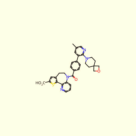 Cc1cnc(N2CCC3(CC2)COC3)c(-c2ccc(C(=O)N3CCc4cc(C(=O)O)sc4-c4ncccc43)cc2)c1